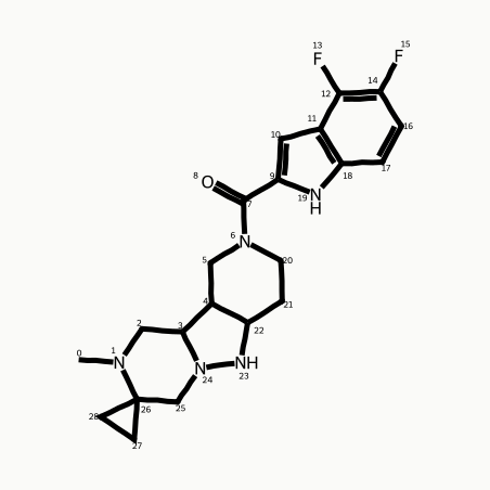 CN1CC2C3CN(C(=O)c4cc5c(F)c(F)ccc5[nH]4)CCC3NN2CC12CC2